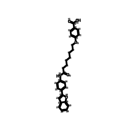 O=C(CCCCCCCOc1ccc(C(=O)O)cc1)Nc1ccc(-c2cc3ccccc3o2)cc1